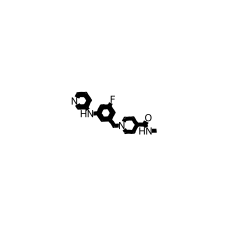 CNC(=O)C1CCN(Cc2cc(F)cc(Nc3cccnc3)c2)CC1